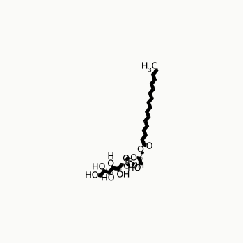 CCCCCCCCCCCCCCCCCC(=O)OC[C@H](CO)OP(=O)(O)OC[C@@H](O)[C@@H](O)[C@H](O)[C@H](O)CO